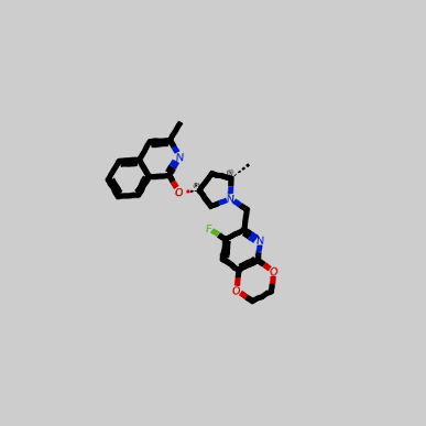 Cc1cc2ccccc2c(O[C@@H]2C[C@H](C)N(Cc3nc4c(cc3F)OCCO4)C2)n1